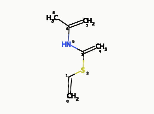 C=CSC(=C)NC(=C)C